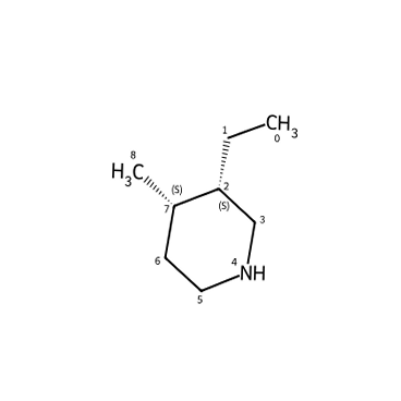 CC[C@@H]1CNCC[C@@H]1C